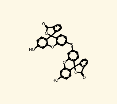 O=C1OC2(c3ccc(O)cc3Oc3cc(Sc4ccc5c(c4)Oc4cc(O)ccc4C54OC(=O)c5ccccc54)ccc32)c2ccccc21